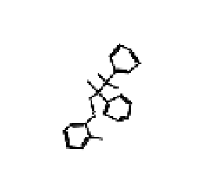 Cc1ccccc1SCC(C)(c1ccccc1)C(C)(C)c1ccccc1